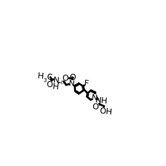 CC(=O)NC[C@H]1CN(c2ccc(C3=CCN(NC(=O)CO)C=C3)c(F)c2)C(=O)O1